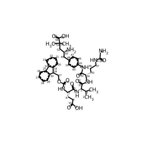 CC(C)[C@H](NC(=O)[C@H](CCC(=O)O)NC(=O)OCC1c2ccccc2-c2ccccc21)C(=O)N[C@@H](CCCNC(N)=O)C(=O)Nc1ccc(C[C@H](N)CC(C)(C)C(=O)O)cc1